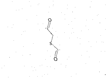 O=[C]CS[C]=O